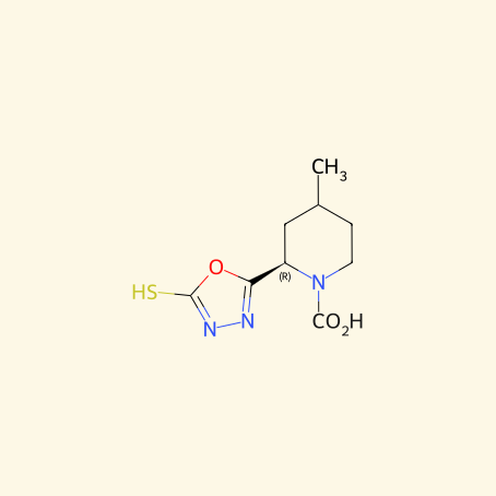 CC1CCN(C(=O)O)[C@@H](c2nnc(S)o2)C1